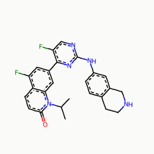 CC(C)n1c(=O)ccc2c(F)cc(-c3nc(Nc4ccc5c(c4)CNCC5)ncc3F)cc21